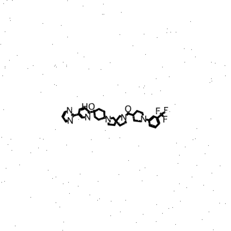 O=C(C1CCN(c2cccc(C(F)(F)F)c2)CC1)N1CCC2(CCN(C3CCC(O)(c4ccc(-c5ncccn5)cn4)CC3)C2)C1